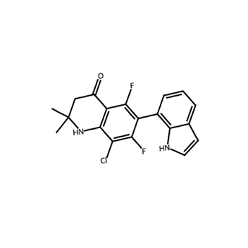 CC1(C)CC(=O)c2c(F)c(-c3cccc4cc[nH]c34)c(F)c(Cl)c2N1